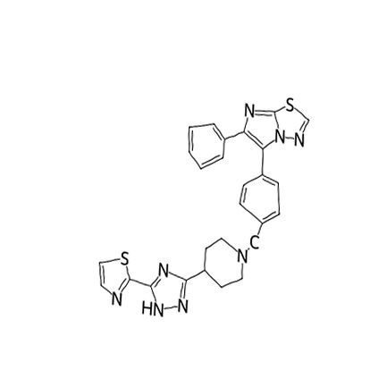 c1ccc(-c2nc3scnn3c2-c2ccc(CN3CCC(c4n[nH]c(-c5nccs5)n4)CC3)cc2)cc1